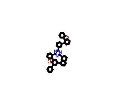 c1ccc(-c2cc(-c3ccccc3)c3oc4cccc(-c5nc(-c6ccccc6)nc(-c6cccc(-c7cccc8sc9ccccc9c78)c6)n5)c4c3c2)cc1